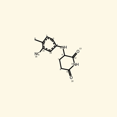 Cc1ccc(NC2CCC(=O)NC2=O)cc1C#N